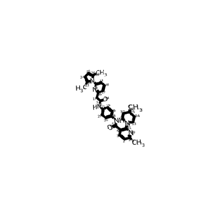 Cc1ccc(C(=O)Nc2ccc(NC(=O)Cc3cccc(-n4c(C)ccc4C)n3)cc2)c(N2CCC(C)CC2)n1